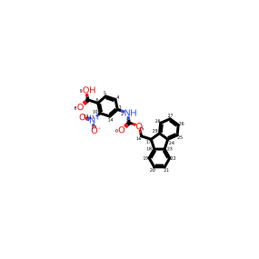 O=C(Nc1ccc(C(=O)O)c([N+](=O)[O-])c1)OCC1c2ccccc2-c2ccccc21